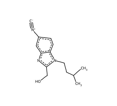 [C-]#[N+]c1ccc2c(c1)nc(CO)n2CCC(C)C